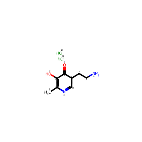 CC1=C(O)C(=O)C(CCN)C=N1.Cl.Cl